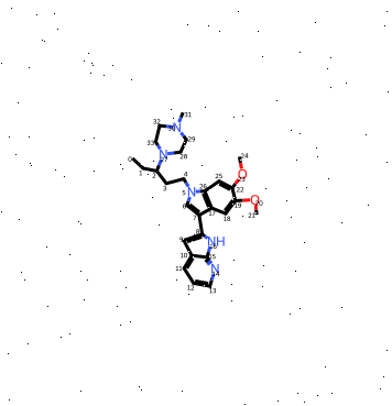 [CH2]CC(CCn1cc(-c2cc3cccnc3[nH]2)c2cc(OC)c(OC)cc21)N1CCN(C)CC1